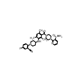 Cc1cc(C)c(C(=O)N2CCN(c3ncccc3[S+](N)[O-])CC2)c(C)c1NC1CCN(c2ccc(F)cc2C#N)CC1